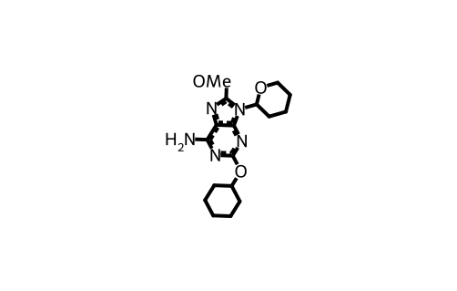 COc1nc2c(N)nc(OC3CCCCC3)nc2n1C1CCCCO1